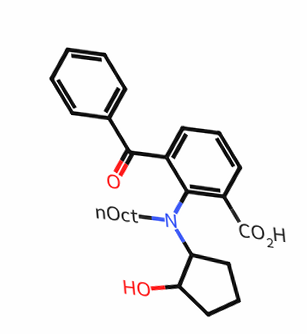 CCCCCCCCN(c1c(C(=O)O)cccc1C(=O)c1ccccc1)C1CCCC1O